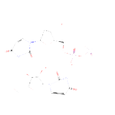 O=c1ccn([C@@H]2O[C@H](CO)[C@@H](O)[C@H]2O)c(=O)[nH]1.O=c1ccn([C@H]2C[C@H](O)[C@@H](COP(=O)(O)OP(=O)(O)O)O2)c(=O)[nH]1